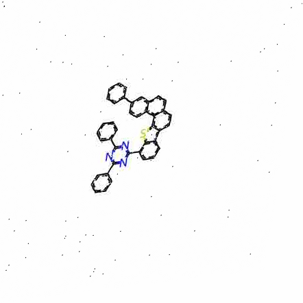 c1ccc(-c2ccc3c(ccc4ccc5c6cccc(-c7nc(-c8ccccc8)nc(-c8ccccc8)n7)c6sc5c43)c2)cc1